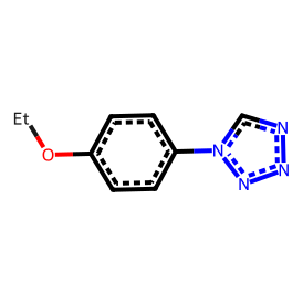 CCOc1ccc(-n2cnnn2)cc1